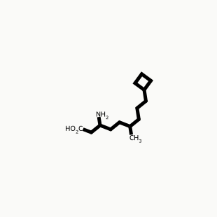 CC(CCCC1CCC1)CCC(N)CC(=O)O